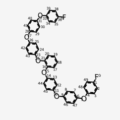 Fc1ccc(Oc2ccc(Oc3ccc(Oc4ccccc4Oc4ccc(Oc5ccc(Oc6ccc(F)cc6)cc5)cc4)cc3)cc2)cc1